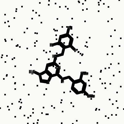 CCc1cc(C#N)cc(F)c1CNc1cc2c(ncn2C)c(NCc2ccc(OC)cc2OC)n1